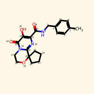 Cc1ccc(CNC(=O)c2nc3n(c(=O)c2O)CCOC32CCCC2)cc1